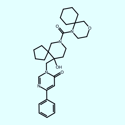 O=C(N1CCC(O)(Cn2cnc(-c3ccccc3)cc2=O)C2(CCCC2)C1)N1CCOCC12CCCCC2